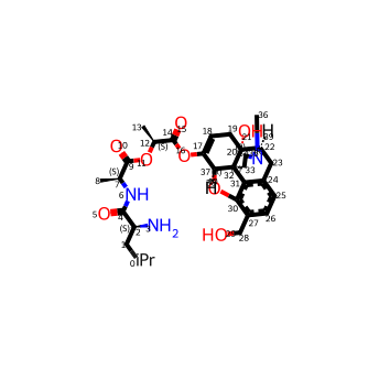 CC(C)C[C@H](N)C(=O)N[C@@H](C)C(=O)O[C@@H](C)C(=O)OC1=CC[C@@]2(O)[C@H]3Cc4ccc(CO)c5c4[C@@]2(CCN3C)[C@H]1O5